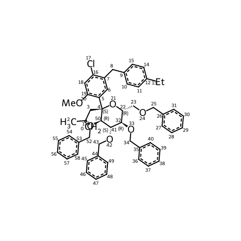 C=C(C)C[C@@]1(c2cc(Cc3ccc(CC)cc3)c(Cl)cc2OC)O[C@H](COCc2ccccc2)[C@@H](OCc2ccccc2)[C@H](OCc2ccccc2)[C@H]1OCc1ccccc1